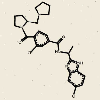 CC(NC(=O)c1ccc(C(=O)N2CCC[C@H]2CN2CCCC2)c(Cl)c1)c1nc2cc(Cl)ccc2[nH]1